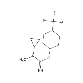 CN(C(=N)OC1CCC(C(F)(F)F)CC1)C1CC1